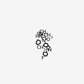 Cc1cccc([C@@H]2[C@@H](NS(C)(=O)=O)[C@H](C)C(=O)N2c2ccc3c(cnn3-c3ccc(F)cc3)c2)c1